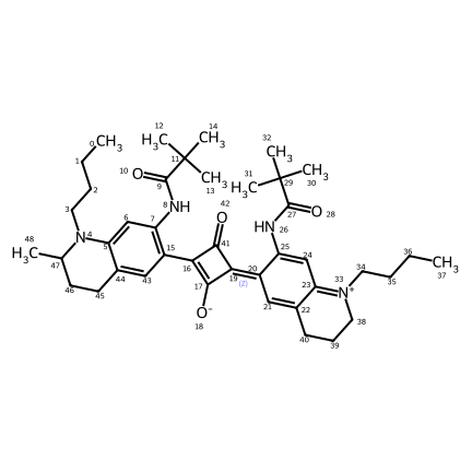 CCCCN1c2cc(NC(=O)C(C)(C)C)c(C3=C([O-])/C(=c4\cc5c(cc4NC(=O)C(C)(C)C)=[N+](CCCC)CCC5)C3=O)cc2CCC1C